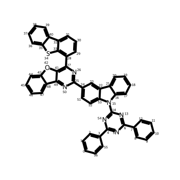 c1ccc(-c2nc(-c3ccccc3)nc(-n3c4ccccc4c4cc(-c5nc(-c6cccc7c6sc6ccccc67)c6oc7ccccc7c6n5)ccc43)n2)cc1